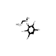 CCOCC(=O)O.Fc1cc(F)c(F)c(F)c1F